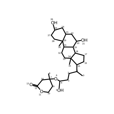 CC(CCC(O)OC1(C)CCOC(=O)C1)C1CCC2C3C(O)CC4CC(O)CCC4(C)C3CCC12C